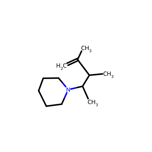 C=C(C)C(C)C(C)N1CCCCC1